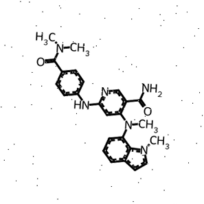 CN(C)C(=O)c1ccc(Nc2cc(N(C)c3cccc4ccn(C)c34)c(C(N)=O)cn2)cc1